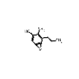 CCCc1c(N)c(O)cc2c1O2